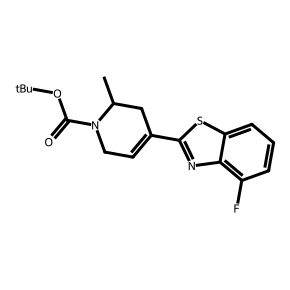 CC1CC(c2nc3c(F)cccc3s2)=CCN1C(=O)OC(C)(C)C